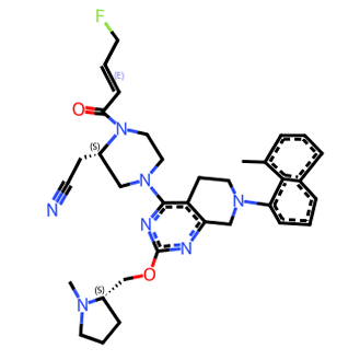 Cc1cccc2cccc(N3CCc4c(nc(OC[C@@H]5CCCN5C)nc4N4CCN(C(=O)/C=C/CF)[C@@H](CC#N)C4)C3)c12